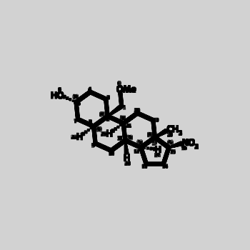 COC[C@]12CC[C@@H](O)C[C@@H]1CC[C@H]1[C@@H]3CC[C@H]([N+](=O)[O-])[C@@]3(C)CC[C@@H]12